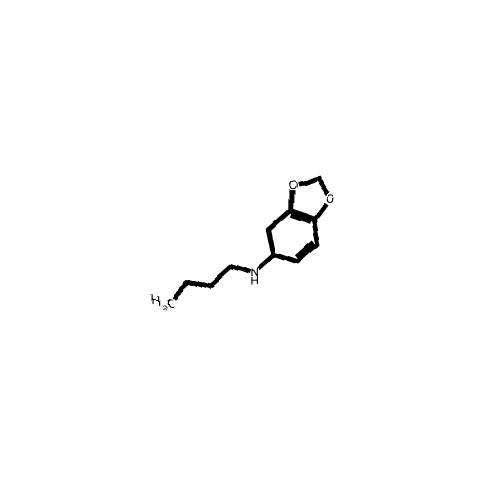 CCCCN[C]1C=CC2=C(C1)OCO2